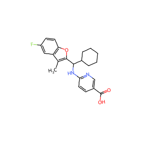 Cc1c(C(Nc2ccc(C(=O)O)cn2)C2CCCCC2)oc2ccc(F)cc12